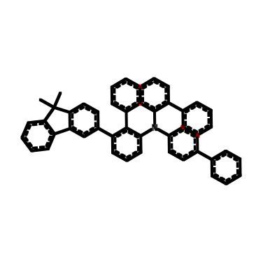 CC1(C)c2ccccc2-c2cc(-c3cccc(N(c4ccc(-c5ccccc5)cc4)c4ccccc4-c4ccccc4)c3-c3ccccc3)ccc21